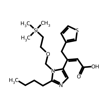 CCCCc1ncc(/C(=C\C(=O)O)Cc2ccsc2)n1COCC[Si](C)(C)C